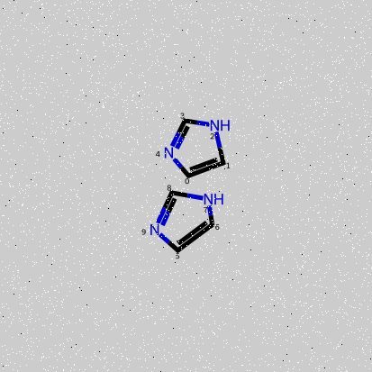 c1c[nH]cn1.c1c[nH]cn1